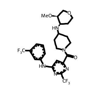 CO[C@H]1COCC[C@H]1NC1CCN(C(=O)c2cc(Nc3cccc(C(F)(F)F)c3)nc(C(F)(F)F)n2)CC1